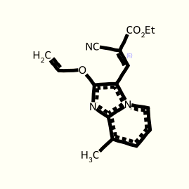 C=COc1nc2c(C)cccn2c1/C=C(\C#N)C(=O)OCC